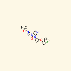 C=CC(=O)N1CCC(n2c(=O)n(-c3cccc(Oc4cccc(F)c4C)c3)c3cnccc32)C1